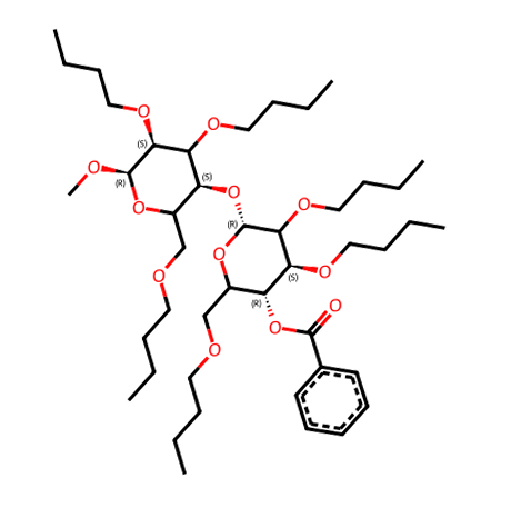 CCCCOCC1O[C@@H](OC)[C@@H](OCCCC)C(OCCCC)[C@H]1O[C@H]1OC(COCCCC)[C@@H](OC(=O)c2ccccc2)[C@H](OCCCC)C1OCCCC